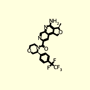 C[C@H]1OCc2c1c(N)nc1cnc(C(=O)N3CCOC[C@@H]3c3ccc(C(F)(F)C(F)(F)F)cc3)cc21